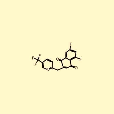 O=C1C(Cc2ccc(C(F)(F)F)cn2)=CC(=O)c2c(F)cc(F)cc21